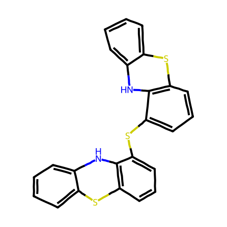 c1ccc2c(c1)Nc1c(cccc1Sc1cccc3c1Nc1ccccc1S3)S2